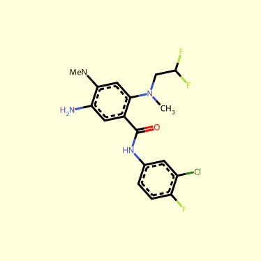 CNc1cc(N(C)CC(F)F)c(C(=O)Nc2ccc(F)c(Cl)c2)cc1N